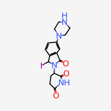 O=C1CCC(N2C(=O)c3cc(N4CCNCC4)ccc3C2I)C(=O)N1